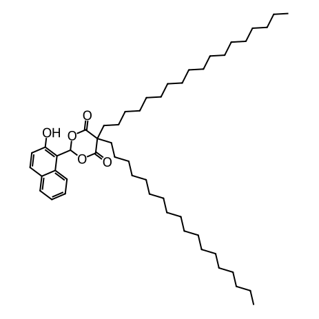 CCCCCCCCCCCCCCCCCCC1(CCCCCCCCCCCCCCCCCC)C(=O)OC(c2c(O)ccc3ccccc23)OC1=O